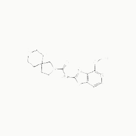 COc1nccc2sc(NC(=O)N3CCC4(CCOCC4)C3)nc12